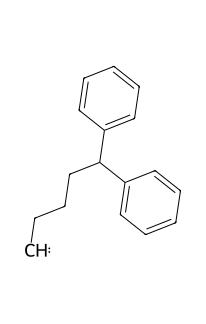 [CH]CCCC(c1ccccc1)c1ccccc1